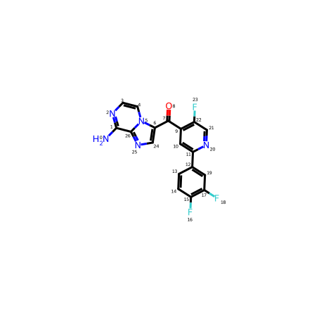 Nc1nccn2c(C(=O)c3cc(-c4ccc(F)c(F)c4)ncc3F)cnc12